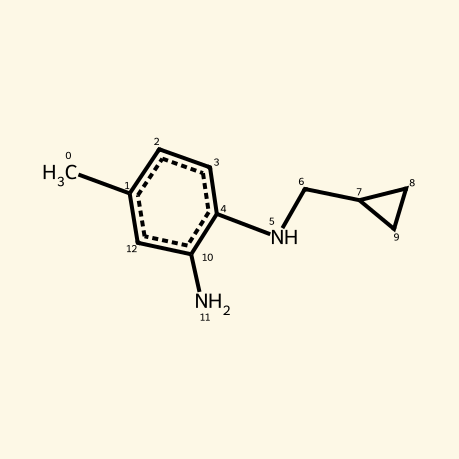 Cc1ccc(NCC2CC2)c(N)c1